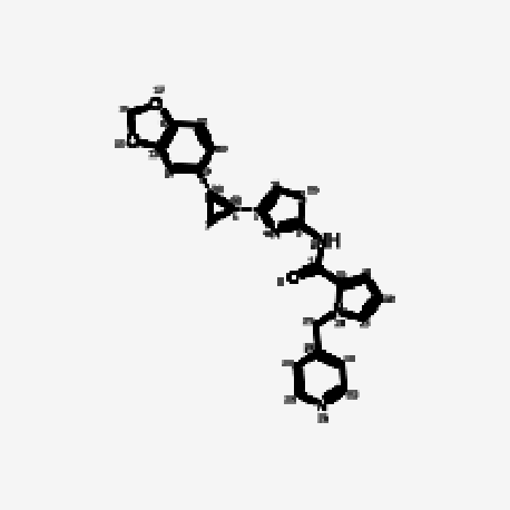 O=C(Nc1nc([C@@H]2C[C@@H]2c2ccc3c(c2)OCO3)cs1)c1cccn1Cc1ccncc1